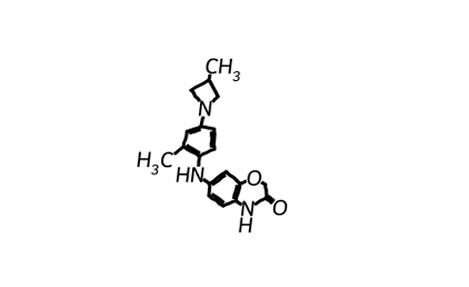 Cc1cc(N2CC(C)C2)ccc1Nc1ccc2c(c1)OCC(=O)N2